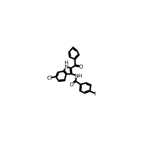 O=C(Nc1c(C(=O)c2ccccc2)[nH]c2cc(Cl)ccc12)c1ccc(I)cc1